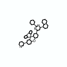 c1ccc(-c2nc(-c3ccc4c(c3)C3(c5cc(-c6cccnc6)ccc5O4)c4ccccc4-c4ccccc43)cc(-c3cccc4ccccc34)n2)cc1